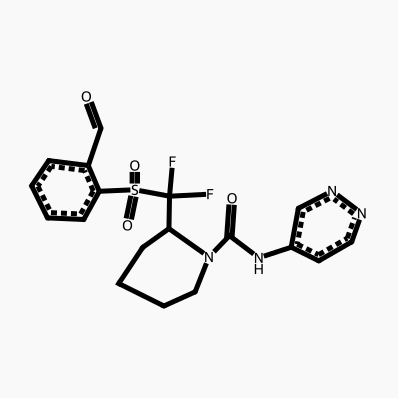 O=Cc1ccccc1S(=O)(=O)C(F)(F)C1CCCCN1C(=O)Nc1ccnnc1